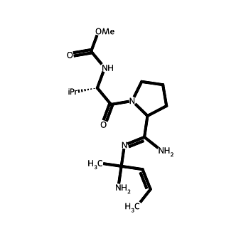 C/C=C\C(C)(N)/N=C(\N)C1CCCN1C(=O)[C@@H](NC(=O)OC)C(C)C